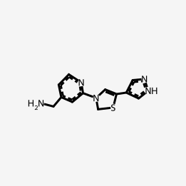 NCc1ccnc(N2C=C(c3cn[nH]c3)SC2)c1